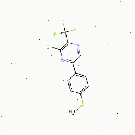 CSc1ccc(-c2cnc(C(F)(F)F)c(Cl)n2)cc1